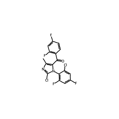 Cc1nc(Cl)n(-c2c(F)cc(F)cc2Cl)c1C(=O)c1ccc(F)cc1F